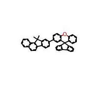 CC1(C)c2cc(-c3ccc4c(c3)C3(c5ccccc5O4)c4ccccc4-c4ccccc43)ccc2-c2ccc3ccccc3c21